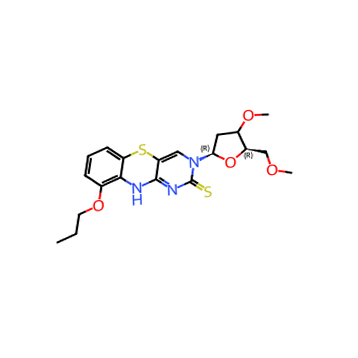 CCCOc1cccc2c1Nc1nc(=S)n([C@H]3CC(OC)[C@@H](COC)O3)cc1S2